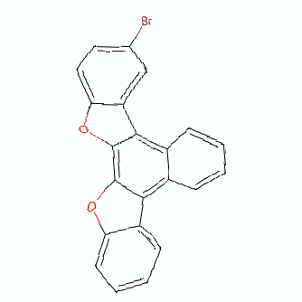 Brc1ccc2oc3c4oc5ccccc5c4c4ccccc4c3c2c1